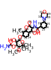 CO[C@@H]1[C@@H](OC(N)=O)[C@@H](O)[C@H](Oc2ccc3c(O)c(NC(=O)c4cccc(N5CCOCC5)c4)c(=O)oc3c2C)OC1(C)C